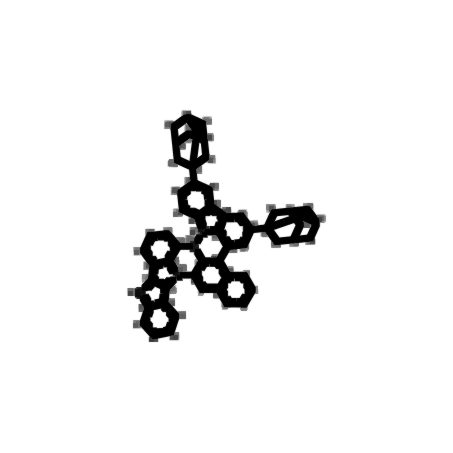 c1ccc2c3c4c(cc2c1)-n1c2c(cccc2c2oc5ccccc5c21)B4n1c2ccc(C45CC6CC(CC(C6)C4)C5)cc2c2cc(C45CC6CC(CC(C6)C4)C5)cc-3c21